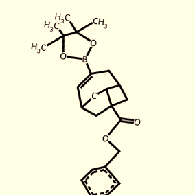 CC1(C)OB(C2=CC3CC4C(C2)CC4(C(=O)OCc2ccccc2)C3)OC1(C)C